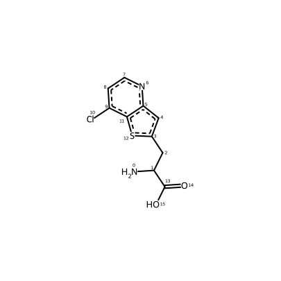 NC(Cc1cc2nccc(Cl)c2s1)C(=O)O